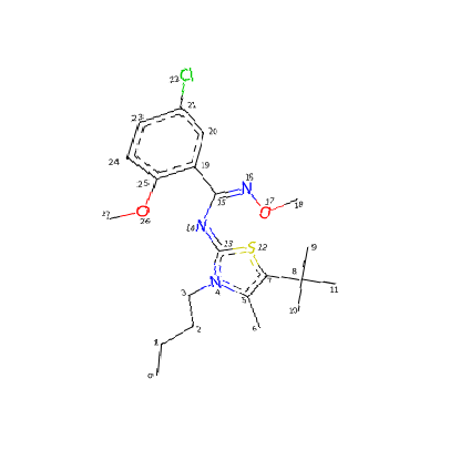 CCCCn1c(C)c(C(C)(C)C)sc1=NC(=NOC)c1cc(Cl)ccc1OC